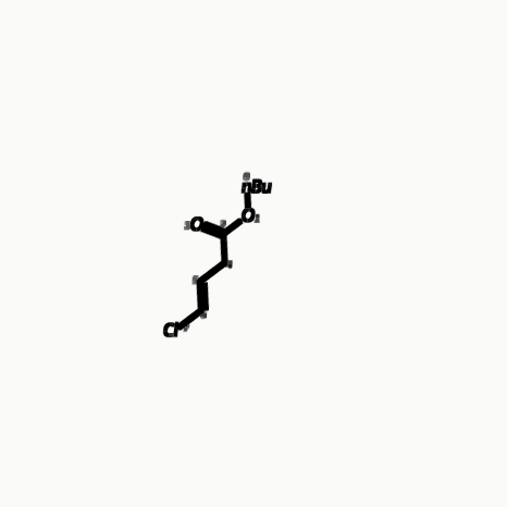 CCCCOC(=O)CC=CCl